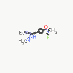 CC/C=C/C=C(/C#Cc1ccc(C(=O)N(C)CCF)cc1)N/C=N/C